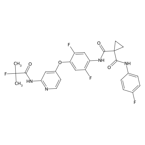 CC(C)(F)C(=O)Nc1cc(Oc2cc(F)c(NC(=O)C3(C(=O)Nc4ccc(F)cc4)CC3)cc2F)ccn1